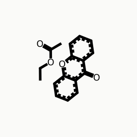 CCOC(C)=O.O=c1c2ccccc2oc2ccccc12